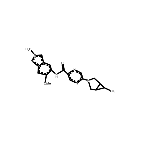 COc1cc2nn(C)cc2cc1NC(=O)c1cnc(N2CC3C(C)C3C2)cn1